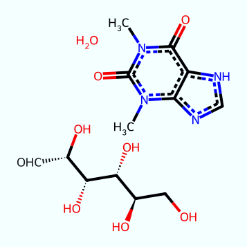 Cn1c(=O)c2[nH]cnc2n(C)c1=O.O.O=C[C@H](O)[C@@H](O)[C@H](O)[C@H](O)CO